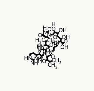 CC(C)C(NC(=O)NC(C(=O)NC(C(=O)NCCCNC(C(=O)O)C(O)C1O[C@@H](n2ccc(=O)[nH]c2=O)C(O)C1O)C(O)C(C)C)C1CCNC(=N)N1)C(=O)O